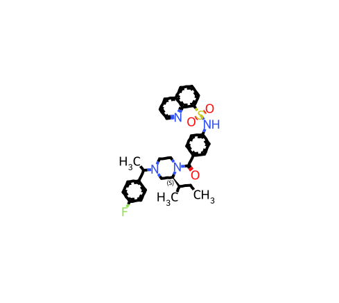 CCC(C)[C@H]1CN(C(C)c2ccc(F)cc2)CCN1C(=O)c1ccc(NS(=O)(=O)c2cccc3cccnc23)cc1